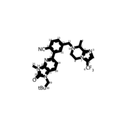 CC1c2ncc(C(F)(F)F)n2CCN1Cc1ccc(C#N)c(-c2ccc3c(n2)n(C)c(=O)n3CC(C)(C)C)c1